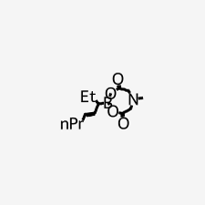 CCC/C=C/C(CC)B1OC(=O)CN(C)CC(=O)O1